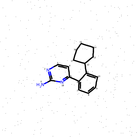 Nc1nccc(-c2ccccc2C2CCCCC2)n1